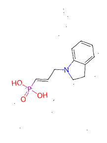 O=P(O)(O)C=CCN1CCc2ccccc21